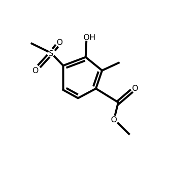 COC(=O)c1ccc(S(C)(=O)=O)c(O)c1C